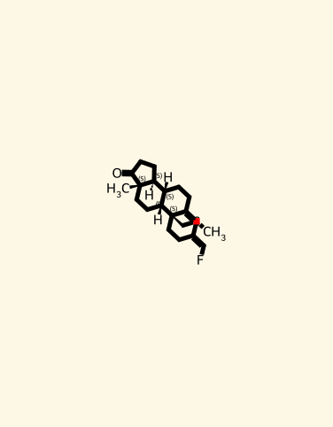 CSC[C@]12CCC(=CF)C=C1CC[C@@H]1[C@H]2CC[C@]2(C)C(=O)CC[C@@H]12